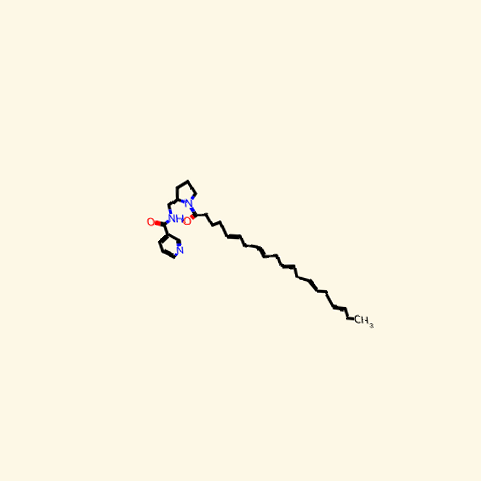 CCC=CCC=CCC=CCC=CCC=CCCCC(=O)N1CCCC1CNC(=O)c1cccnc1